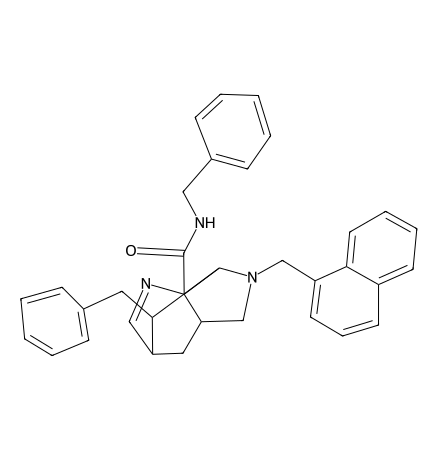 O=C(NCc1ccccc1)C12N=CC3CC1CN(Cc1cccc4ccccc14)C2C3Cc1ccccc1